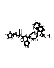 COc1ccc2cccnc2c1N1CCCN(C(CC(=O)NCCN2CCCC2)C2CCCC2)CC1